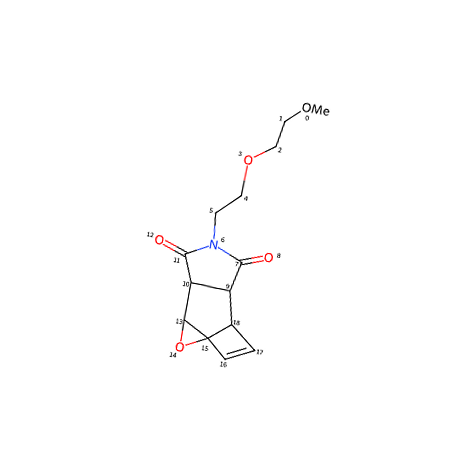 COCCOCCN1C(=O)C2C(C1=O)C1OC13C=CC23